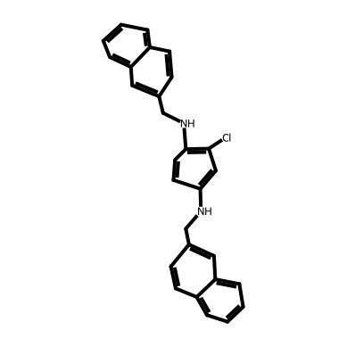 Clc1cc(NCc2ccc3ccccc3c2)ccc1NCc1ccc2ccccc2c1